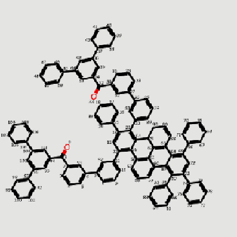 O=C(c1cccc(-c2cccc(-c3cc(-c4ccccc4)c(-c4cccc(-c5cccc(C(=O)c6cc(-c7ccccc7)cc(-c7ccccc7)c6)c5)c4)c4c3-c3cccc5c3c3c(c6c(-c7ccccc7)cc(-c7ccccc7)c(-c7ccccc7)c65)C=CCC43)c2)c1)c1cc(-c2ccccc2)cc(-c2ccccc2)c1